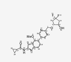 COc1c(-c2cnc(CO[C@@H]3CC(F)(F)C[C@H]3O)nc2)ccc2nc(NC(=O)C3CC3)sc12